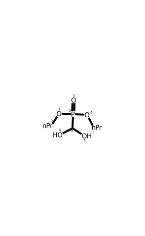 CCCOP(=O)(OCCC)C(O)O